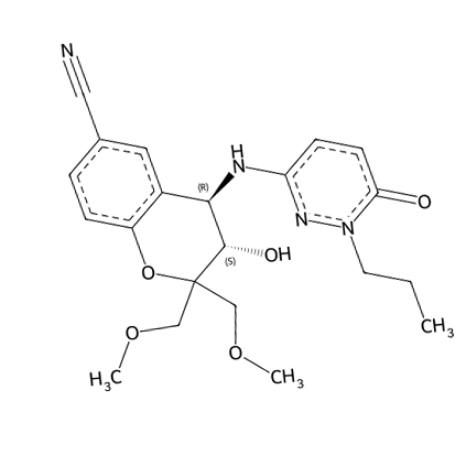 CCCn1nc(N[C@@H]2c3cc(C#N)ccc3OC(COC)(COC)[C@H]2O)ccc1=O